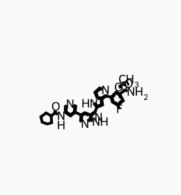 CS(=O)(=O)C(N)c1cc(F)cc(-c2nccc3[nH]c(-c4n[nH]c5ncc(-c6cncc(NC(=O)C7CCCCC7)c6)cc45)cc23)c1